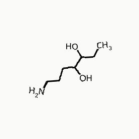 CCC(O)C(O)CCCN